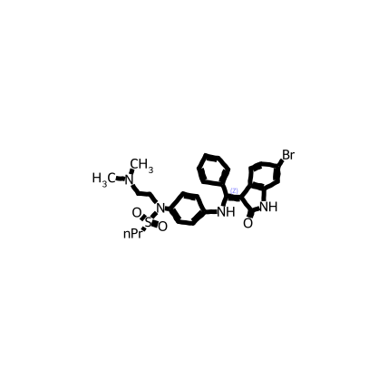 CCCS(=O)(=O)N(CCN(C)C)c1ccc(N/C(=C2\C(=O)Nc3cc(Br)ccc32)c2ccccc2)cc1